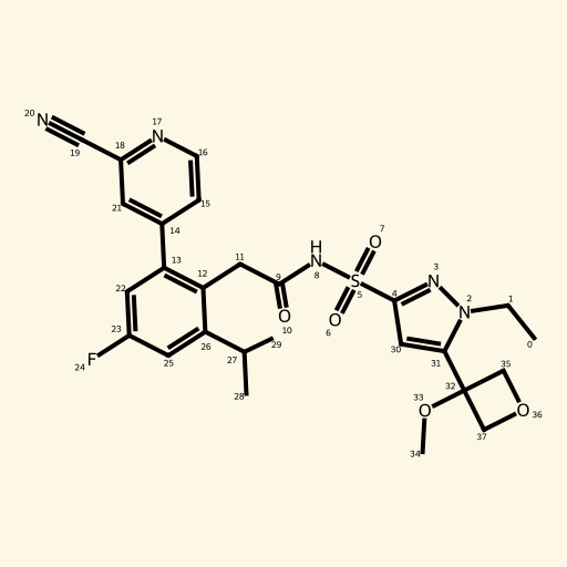 CCn1nc(S(=O)(=O)NC(=O)Cc2c(-c3ccnc(C#N)c3)cc(F)cc2C(C)C)cc1C1(OC)COC1